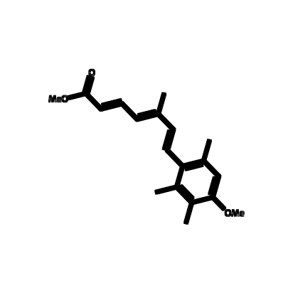 COC(=O)C=CC=C(C)C=Cc1c(C)cc(OC)c(C)c1C